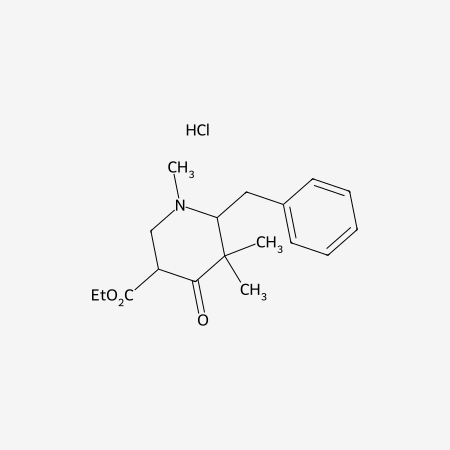 CCOC(=O)C1CN(C)C(Cc2ccccc2)C(C)(C)C1=O.Cl